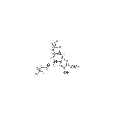 COc1cc2c(cc1O)N(COCC[Si](C)(C)C)C=C1CC3(CC3)CN1C2